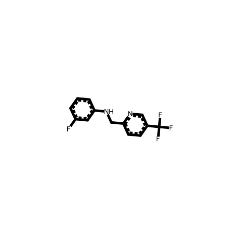 Fc1cccc(NCc2ccc(C(F)(F)F)cn2)c1